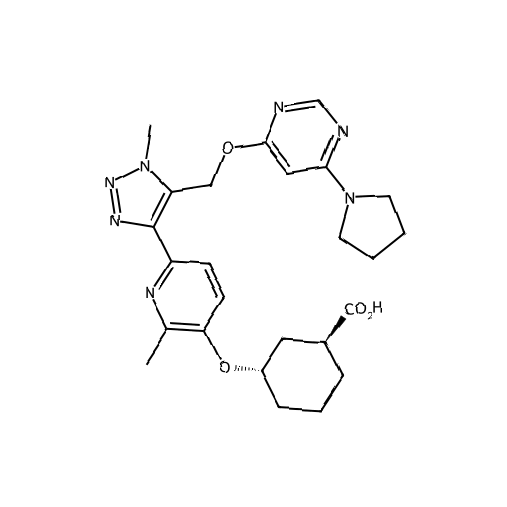 Cc1nc(-c2nnn(C)c2COc2cc(N3CCCC3)ncn2)ccc1O[C@H]1CCC[C@H](C(=O)O)C1